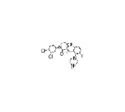 CN1CCN(c2c(F)ccc(F)c2/C=C2\SCCN(c3ccc(Cl)c(Cl)c3)C2=O)CC1